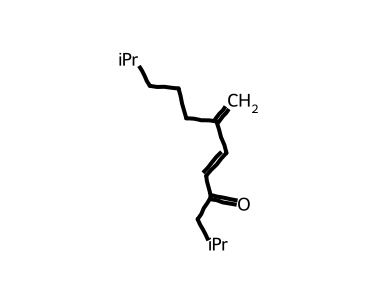 C=C(C=CC(=O)CC(C)C)CCCC(C)C